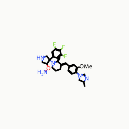 C=C1/C(=C/c2ccc(N3C=NC(C)C3)c(OC)c2)CCCN1[C@]1(c2cc(F)c(F)c(F)c2)CNCC1ON